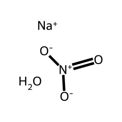 O.O=[N+]([O-])[O-].[Na+]